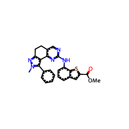 COC(=O)c1cc2cccc(Nc3ncc4c(n3)-c3c(nn(C)c3-c3ccccc3)CC4)c2s1